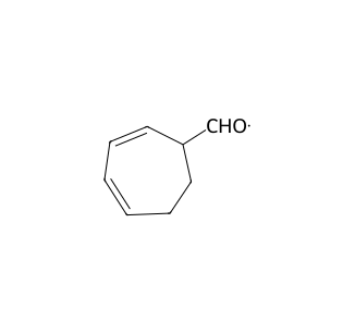 O=[C]C1C=CC=CCC1